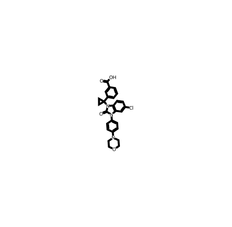 O=C(O)c1cccc(C2(n3c(=O)n(-c4ccc(N5CCOCC5)cc4)c4cc(Cl)ccc43)CC2)c1